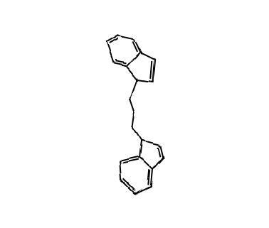 C1=CC(CCCC2C=Cc3ccccc32)c2ccccc21